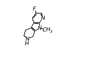 Cn1c2c(c3cc(F)cnc31)CCNC2